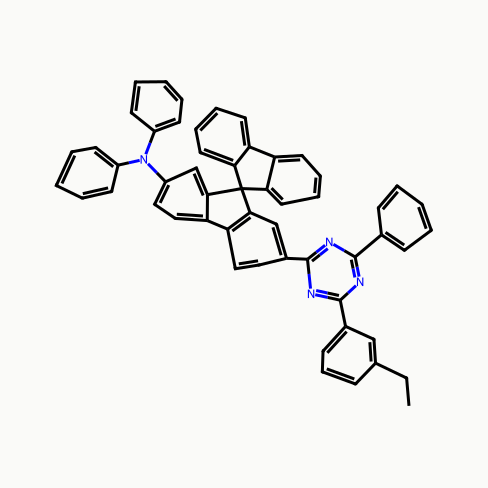 CCc1cccc(-c2nc(-c3ccccc3)nc(-c3ccc4c(c3)C3(c5ccccc5-c5ccccc53)c3cc(N(c5ccccc5)c5ccccc5)ccc3-4)n2)c1